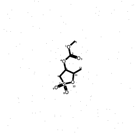 COC(=O)OC1CS(=O)(=O)OC1C